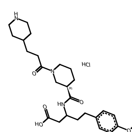 COc1ccc(CCC(CC(=O)O)NC(=O)[C@@H]2CCCN(C(=O)CCC3CCNCC3)C2)cc1.Cl